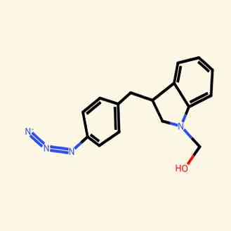 [N-]=[N+]=Nc1ccc(CC2CN(CO)c3ccccc32)cc1